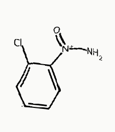 N[N+](=O)c1cc[c]cc1Cl